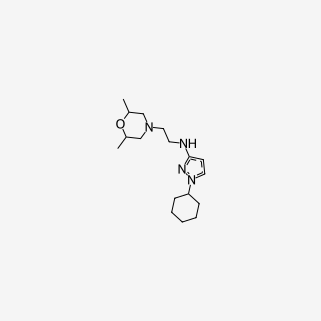 CC1CN(CCNc2ccn(C3CCCCC3)n2)CC(C)O1